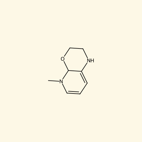 CN1C=CC=C2NCCOC21